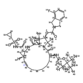 [2H]C1([2H])[C@@H](OC(=O)N2Cc3cccc(F)c3C2)C([2H])([2H])N2C(=O)[C@@H](NC(=O)OC(C([2H])([2H])[2H])(C([2H])([2H])[2H])C([2H])([2H])[2H])CCCCC/C=C\[C@@H]3C[C@@]3(C(=O)NS(=O)(=O)C3CC3)NC(=O)[C@@H]21